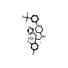 C[C@@H](NC1CCN(c2cccc(C(F)(F)F)c2)CC1)[C@](O)(Cn1cncn1)c1ccc(F)cc1F